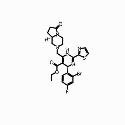 CCOC(=O)C1=C(CN2CCN3C(=O)CC[C@@H]3C2)NC(c2nccs2)=N[C@H]1c1ccc(F)cc1Br